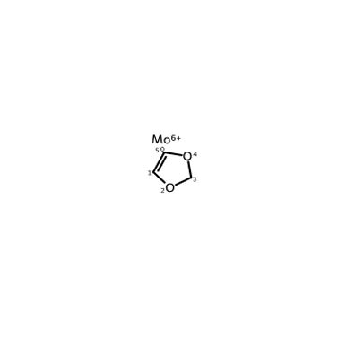 C1=COCO1.[Mo+6]